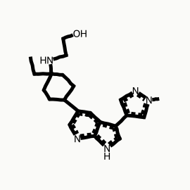 CCC1(NCCO)CCC(c2cnc3[nH]cc(-c4cnn(C)c4)c3c2)CC1